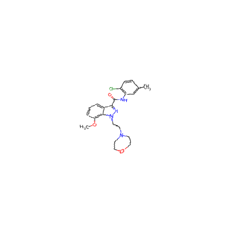 COc1cccc2c(C(=O)Nc3cc(C)ccc3Cl)nn(CCN3CCOCC3)c12